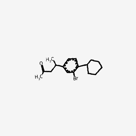 CC(=O)CC(C)c1ccc(C2CCCCC2)c(Br)c1